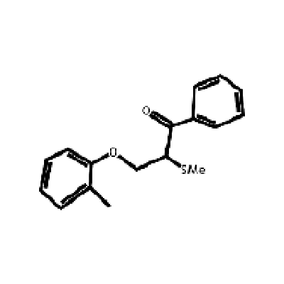 CSC(COc1ccccc1C)C(=O)c1ccccc1